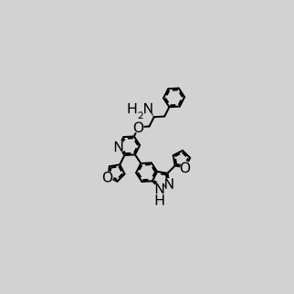 N[C@@H](COc1cnc(-c2ccoc2)c(-c2ccc3[nH]nc(-c4ccco4)c3c2)c1)Cc1ccccc1